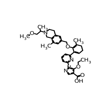 CCOc1c(C(=O)O)cnn1-c1cccc(C2=CCCC(C)=C2OCc2cc(C)c3c(c2)CCN(C(C)COC)C3)n1